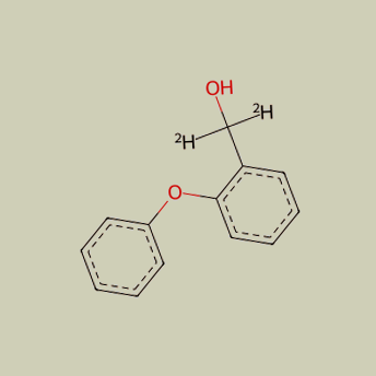 [2H]C([2H])(O)c1ccccc1Oc1ccccc1